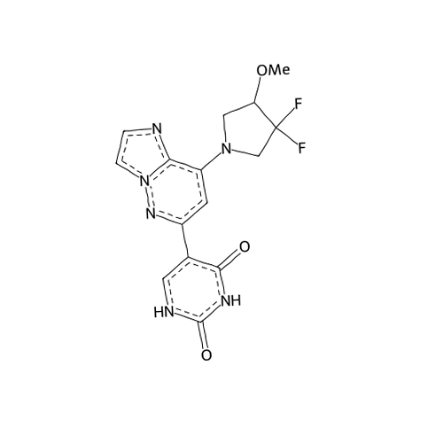 COC1CN(c2cc(-c3c[nH]c(=O)[nH]c3=O)nn3ccnc23)CC1(F)F